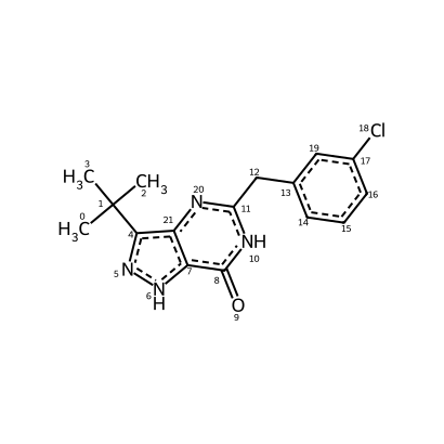 CC(C)(C)c1n[nH]c2c(=O)[nH]c(Cc3cccc(Cl)c3)nc12